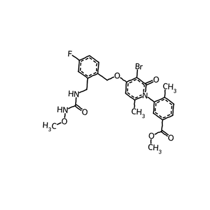 CONC(=O)NCc1cc(F)ccc1COc1cc(C)n(-c2cc(C(=O)OC)ccc2C)c(=O)c1Br